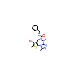 Cc1sc2c(c1Br)CN(C(=O)OCc1ccccc1)[C@@H](C)c1nnc(C)n1-2